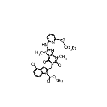 CCOC(=O)C1CC1c1cccc(Nc2nc3c(c(=O)n(Cc4cc5c(Cl)cccc5n4C(=O)OC(C)(C)C)c(=O)n3C)n2C)n1